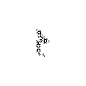 C=C(/C=C\C(F)=C/N)N1CCC(C(=O)N2C[C@@H](N(C)C(=O)Oc3ccc(F)cc3)[C@H](c3ccc(Cl)cc3)C2)CC1